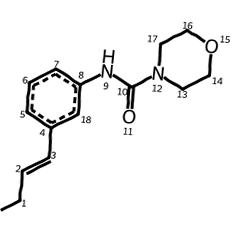 [O]CC=Cc1cccc(NC(=O)N2CCOCC2)c1